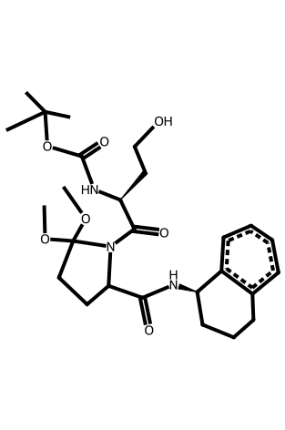 COC1(OC)CCC(C(=O)N[C@@H]2CCCc3ccccc32)N1C(=O)[C@H](CCO)NC(=O)OC(C)(C)C